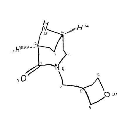 O=C1[C@@H]2C[C@H](CN1CC1COC1)N2